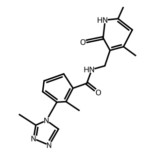 Cc1cc(C)c(CNC(=O)c2cccc(-n3cnnc3C)c2C)c(=O)[nH]1